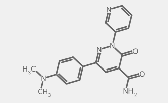 CN(C)c1ccc(-c2cc(C(N)=O)c(=O)n(-c3cccnc3)n2)cc1